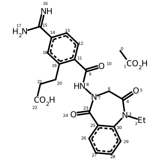 CC(=O)O.CCN1C(=O)CN(NC(=O)c2ccc(C(=N)N)cc2CCC(=O)O)C(=O)c2ccccc21